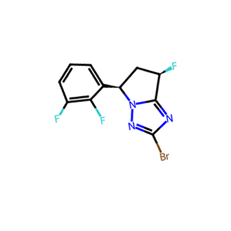 Fc1cccc([C@H]2C[C@@H](F)c3nc(Br)nn32)c1F